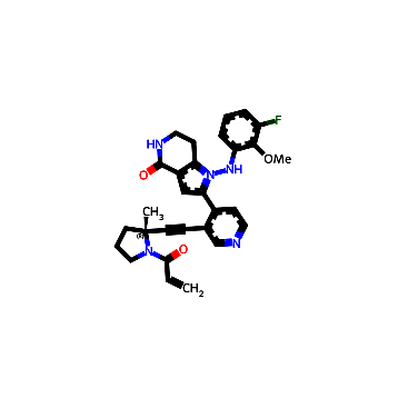 C=CC(=O)N1CCC[C@]1(C)C#Cc1cnccc1-c1cc2c(n1Nc1cccc(F)c1OC)CCNC2=O